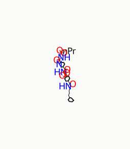 CCCOC(=O)CNC(=O)c1ccc(C(=O)NS(=O)(=O)c2ccc(C(=O)NCCCCc3ccccc3)cc2)cn1